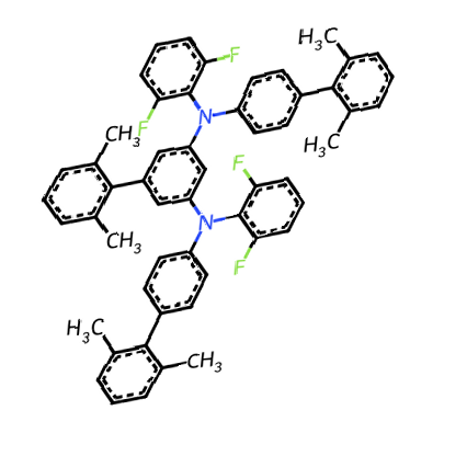 Cc1cccc(C)c1-c1ccc(N(c2cc(-c3c(C)cccc3C)cc(N(c3ccc(-c4c(C)cccc4C)cc3)c3c(F)cccc3F)c2)c2c(F)cccc2F)cc1